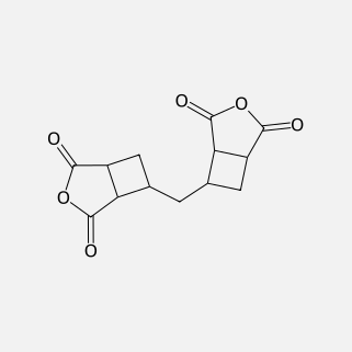 O=C1OC(=O)C2C(CC3CC4C(=O)OC(=O)C34)CC12